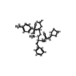 CC(C)CN(C[C@@H](N)[C@H](Cc1ccccc1)NC(=O)O[C@H]1CCOC1)S(=O)(=O)c1ccc(N)cc1